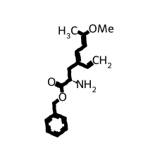 C=C/C(=C\C=C(/C)OC)C[C@H](N)C(=O)OCc1ccccc1